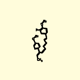 C\C=C(/C=C\C=N\C=C\c1ccc(OC(C)C)c(F)c1)c1ccc(OC(C)C)cc1